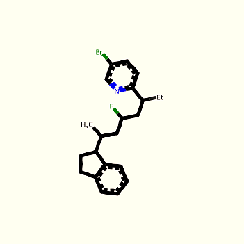 CCC(CC(F)CC(C)C1CCc2ccccc21)c1ccc(Br)cn1